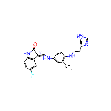 Cc1cc(N/C=C2/C(=O)Nc3ccc(F)cc32)ccc1NCCc1c[nH]cn1